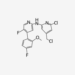 COc1cc(F)ccc1-c1cc(Nc2cc(CCl)cc(Cl)n2)ncc1F